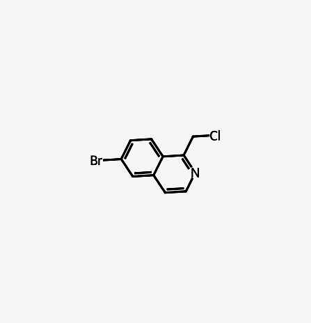 ClCc1nccc2cc(Br)ccc12